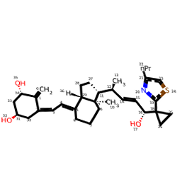 C=C1/C(=C\C=C2/CCC[C@]3(C)[C@@H]([C@@H](C)/C=C/[C@@H](O)C4(c5nc(CCC)cs5)CC4)CC[C@@H]23)C[C@@H](O)C[C@@H]1O